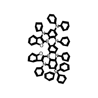 c1ccc(N(c2ccccc2)c2cc3c4c(c2)N(c2ccccc2)c2c(oc5ccccc25)B4c2cc4c(cc2N3c2ccccc2)N(c2ccccc2)c2cc([Si](c3ccccc3)(c3ccccc3)c3ccccc3)cc3c2B4c2oc4ccccc4c2N3c2ccccc2)cc1